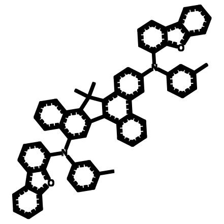 Cc1cccc(N(c2ccc3c4c(c5ccccc5c3c2)-c2cc(N(c3cccc(C)c3)c3cccc5c3oc3ccccc35)c3ccccc3c2C4(C)C)c2cccc3c2oc2ccccc23)c1